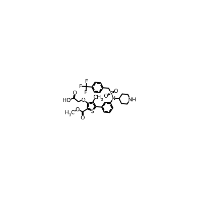 COC(=O)c1sc(-c2cccc(N(C3CCNCC3)S(=O)(=O)Cc3ccc(C(F)(F)F)cc3)c2)c(C)c1OCC(=O)O